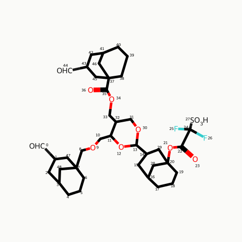 O=CC1CC2CCCC(COCC3OC(C4CC5CCCC(OC(=O)C(F)(F)S(=O)(=O)O)(C5)C4)OCC3COC(=O)C34CCCC(CC(C=O)C3)C4)(C1)C2